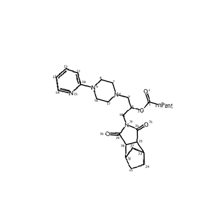 CCCCCC(=O)OC(CN1CCN(c2ccccn2)CC1)CN1C(=O)C2C3CCC(C3)C2C1=O